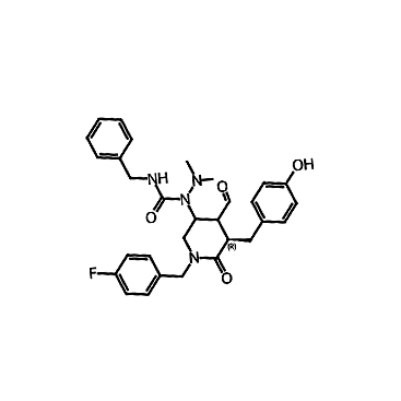 CN(C)N(C(=O)NCc1ccccc1)C1CN(Cc2ccc(F)cc2)C(=O)[C@H](Cc2ccc(O)cc2)C1C=O